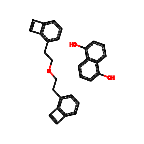 C1=Cc2c1cccc2CCOCCc1cccc2c1C=C2.Oc1cccc2c(O)cccc12